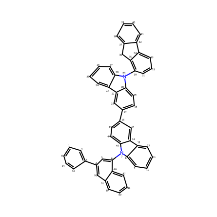 c1ccc(-c2cc(-n3c4ccccc4c4cc(-c5ccc6c(c5)c5ccccc5n6-c5cccc6c5Cc5ccccc5-6)ccc43)c3ccccc3c2)cc1